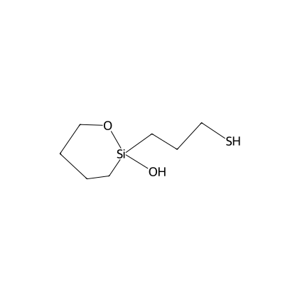 O[Si]1(CCCS)CCCCO1